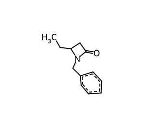 CCC1CC(=O)N1Cc1ccccc1